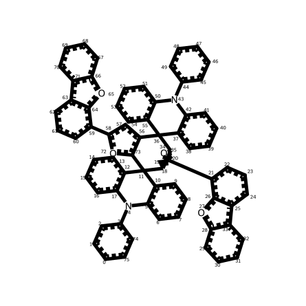 c1ccc(N2c3ccccc3C3(c4ccccc42)c2cc(-c4cccc5c4oc4ccccc45)oc2C2(c4ccccc4N(c4ccccc4)c4ccccc42)c2cc(-c4cccc5c4oc4ccccc45)oc23)cc1